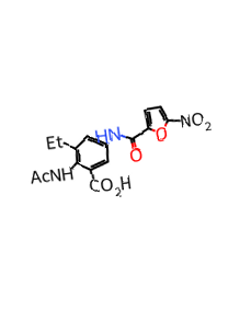 CCc1cc(NC(=O)c2ccc([N+](=O)[O-])o2)cc(C(=O)O)c1NC(C)=O